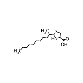 CCCCCCCCCC(C)C1NC(C(=O)O)CS1